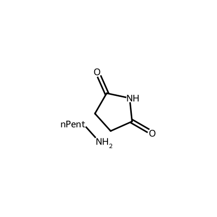 CCCCCN.O=C1CCC(=O)N1